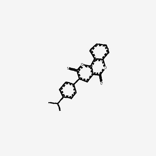 CC(C)c1ccc(-c2cc3c(=O)oc4ccccc4c3oc2=S)cc1